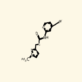 Cn1ccc(COC(=O)Nc2cc(Br)ccn2)n1